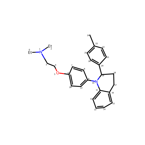 CCN(CC)CCOc1ccc(N2c3ccccc3CCC2c2ccc(C)cc2)cc1